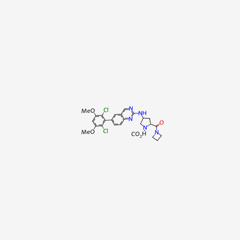 COc1cc(OC)c(Cl)c(-c2ccc3nc(NC4CC(C(=O)N5CCC5)N(C(=O)O)C4)ncc3c2)c1Cl